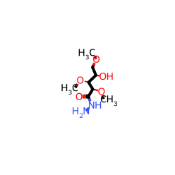 COC[C@@H](O)[C@@H](OC)[C@@H](OC)C(=O)NN